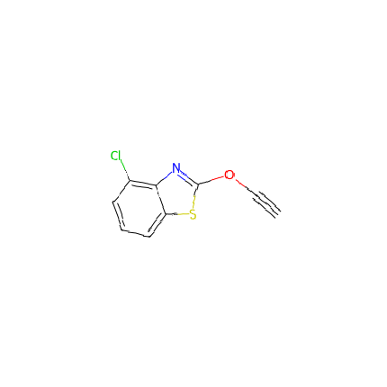 C#COc1nc2c(Cl)cccc2s1